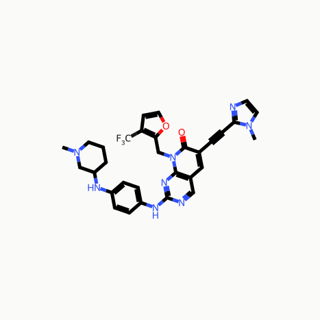 CN1CCCC(Nc2ccc(Nc3ncc4cc(C#Cc5nccn5C)c(=O)n(Cc5occc5C(F)(F)F)c4n3)cc2)C1